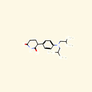 COC(CN(CC(OC)OC)c1ccc(C2CCC(=O)NC2=O)cc1)OC